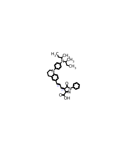 CCC(C)N(c1ccc(N2CCCc3cc(/C=C/C=C4\C(=O)N(c5ccccc5)N=C4C(=O)O)ccc32)cc1)C(C)CC